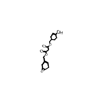 O=C(CC(=O)OCC1CCC2OC2C1)OCC1CCC(O)CC1